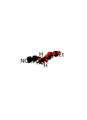 CCOc1ccc(C2COc3cc4c(cc3O2)CNC(C(=O)NC(Cc2ccc(-c3ccc(C#N)cc3)cc2)C(=O)OC)C4)cc1.Cl